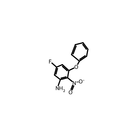 Nc1cc(F)cc(Oc2ccccc2)c1[N+](=O)[O-]